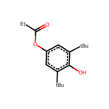 CCC(=O)Oc1cc(C(C)(C)C)c(O)c(C(C)(C)C)c1